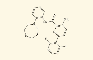 Nc1ccc(-c2c(F)cccc2F)nc1C(=O)Nc1cnccc1N1CCCOCC1